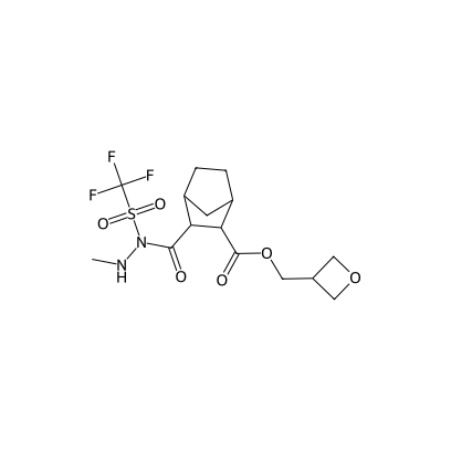 CNN(C(=O)C1C2CCC(C2)C1C(=O)OCC1COC1)S(=O)(=O)C(F)(F)F